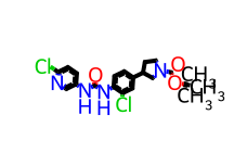 CC(C)(C)OC(=O)N1CCC(c2ccc(NC(=O)Nc3ccc(Cl)nc3)c(Cl)c2)C1